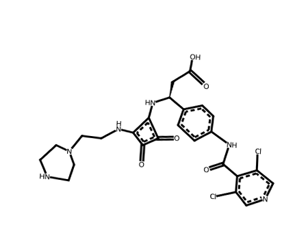 O=C(O)C[C@H](Nc1c(NCCN2CCNCC2)c(=O)c1=O)c1ccc(NC(=O)c2c(Cl)cncc2Cl)cc1